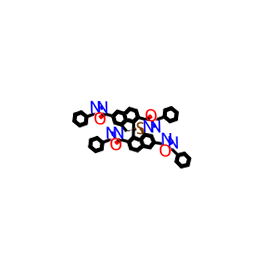 c1ccc(-c2nnc(-c3cc4c5c(c(-c6nnc(-c7ccccc7)o6)ccc5c3)[C@@]3(C4)Sc4cc(-c5nnc(-c6ccccc6)o5)cc5ccc(-c6nnc(-c7ccccc7)o6)c3c45)o2)cc1